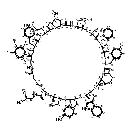 CC(C)C[C@@H]1NC(=O)[C@H](Cc2ccc(O)cc2)NC(=O)[C@H](Cc2c[nH]c3ccccc23)NC(=O)[C@H]2COCCN2C(=O)[C@H](Cc2ccc(O)cc2)NC(=O)[C@H](Cc2ccccc2)N(C)C(=O)[C@H](C(C)C)NC(=O)[C@H](CC(=O)O)NC(=O)[C@H]2C[C@@H](O)CN2C(=O)[C@H](CCC(=O)O)N(C)C(=O)[C@H](Cc2ccccc2)N(C)C(=O)[C@H](Cc2cc(F)c(F)c(F)c2)NC(=O)CSC[C@@H](C(=O)NCC(N)=O)NC1=O